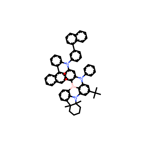 CC(C)(C)c1cc2c3c(c1)N1c4c(cccc4C4(C)CCCCC14C)B3c1ccc(N(c3cccc(-c4cccc5ccccc45)c3)c3ccccc3-c3cccc4ccccc34)cc1N2c1ccccc1